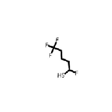 FC(S)CCCC(F)(F)F